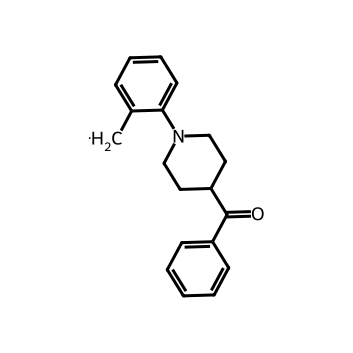 [CH2]c1ccccc1N1CCC(C(=O)c2ccccc2)CC1